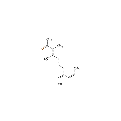 C/C=C\C(=C/C(C)CC)CCC/C(C)=C(\C)C(C)=S